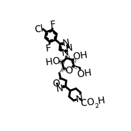 O=C(O)N1CCC(C2=NOC(C[C@H]3O[C@H](CO)[C@H](O)[C@H](n4cc(-c5cc(F)c(Cl)cc5F)nn4)[C@H]3O)C2)CC1